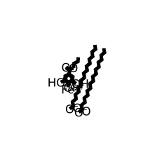 CCCCCCCCCCCCCCCCCC(=O)[O-].CCCCCCCCCCCCCCCCCC(=O)[O-].CCCOC(=O)c1cc(O)c(O)c(O)c1.[Fe+2]